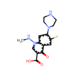 CNn1cc(C(=O)O)c(=O)c2cc(F)c(N3CCNCC3)cc21